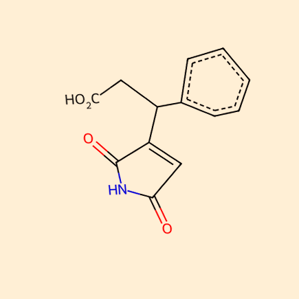 O=C(O)CC(C1=CC(=O)NC1=O)c1ccccc1